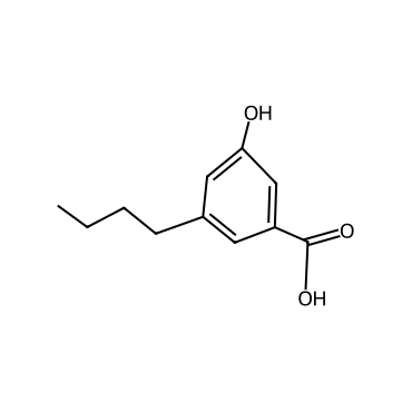 CCCCc1cc(O)cc(C(=O)O)c1